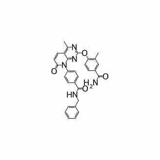 Cc1cc(C(N)=O)ccc1Oc1nc(C)c2ccc(=O)n(-c3ccc(C(=O)NCc4ccccc4)cc3)c2n1